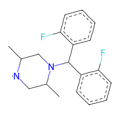 CC1CN(C(c2ccccc2F)c2ccccc2F)C(C)C[N]1